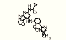 COc1c(Nc2cc(NC(=O)C3CC3)nc3nn4c(c23)OCC4)cccc1-c1ncn(C)n1